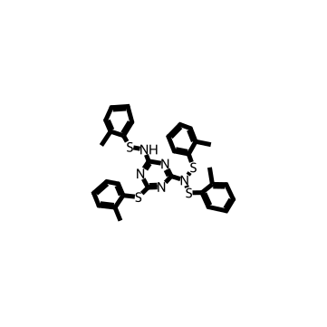 Cc1ccccc1SNc1nc(Sc2ccccc2C)nc(N(Sc2ccccc2C)Sc2ccccc2C)n1